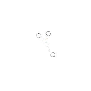 Cl.O=S1(=O)c2ccccc2Oc2ccc(F)cc2N1CC1CCN(C[C@H](O)c2ccc(F)cc2)CC1